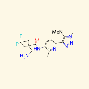 CNc1c(-c2ccc(NC(=O)C3(CN)CC(F)(F)C3)c(C)n2)nnn1C